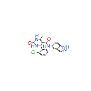 CC1=C(C(=O)Nc2ccc3[nH]ncc3c2)C(c2ccccc2Cl)NC(=O)N1